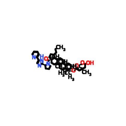 CCCC1CC[C@]2(C(=O)N3CCC[C@H]3c3ncc(-c4ccccn4)[nH]3)CC[C@]3(C)[C@H](CC[C@@H]4[C@@]5(C)CC[C@H](OC(=O)CC(C)(C)CC(=O)O)C(C)(C)[C@@H]5CC[C@]43C)[C@@H]12